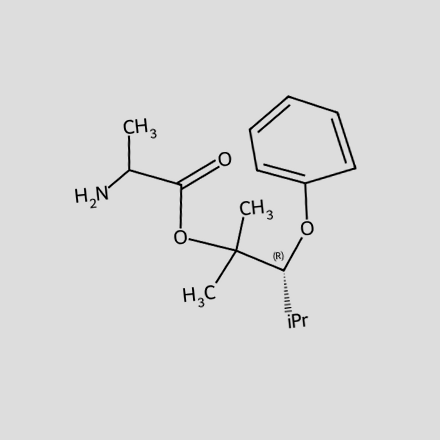 CC(N)C(=O)OC(C)(C)[C@H](Oc1ccccc1)C(C)C